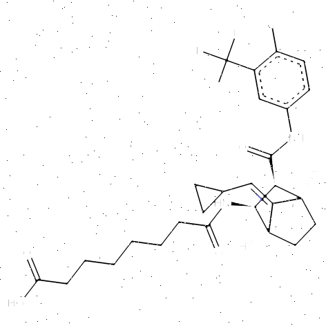 O=C(O)CCCCCCC(=O)N[C@H]1[C@@H](C(=O)Nc2ccc(F)c(C(F)(F)F)c2)[C@H]2CC[C@@H]1/C2=C\C1CC1